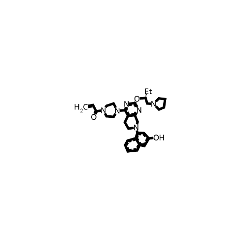 C=CC(=O)N1CCN(c2nc(O[C@H](CC)CN3CCCC3)nc3c2CCN(c2cc(O)cc4ccccc24)C3)CC1